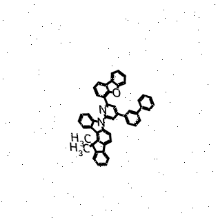 CC1(C)c2ccccc2-c2ccc3c(c21)c1ccccc1n3-c1cc(-c2cccc(-c3ccccc3)c2)cc(-c2cccc3c2oc2ccccc23)n1